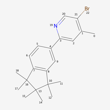 Cc1cc(-c2ccc3c(c2)C(C)(C)C(C)(C)C3(C)C)ncc1Br